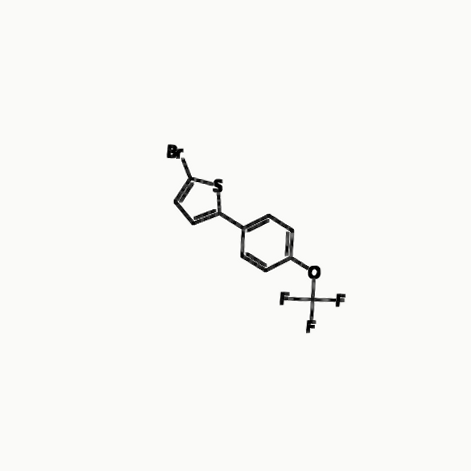 FC(F)(F)Oc1ccc(-c2ccc(Br)s2)cc1